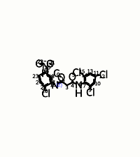 CO/C(CC(=O)Nc1c(Cl)cc(Cl)cc1Cl)=N\c1cc([N+](=O)[O-])ccc1Cl